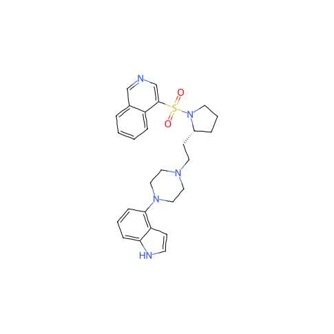 O=S(=O)(c1cncc2ccccc12)N1CCC[C@@H]1CCN1CCN(c2cccc3[nH]ccc23)CC1